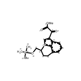 COC(=O)C(=O)c1cn2c3c(cccc13)CCC2CO[Si](C)(C)C(C)(C)C